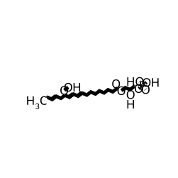 CCC=CCC(C=CC=CCCCCCCCC(=O)OC[C@H](O)COP(=O)(O)O)OO